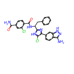 NC(=O)c1ccc(C(=O)NC(Cc2ccccc2)c2nc(-c3ccc4c(N)n[nH]c4c3)c(Cl)[nH]2)c(Cl)c1